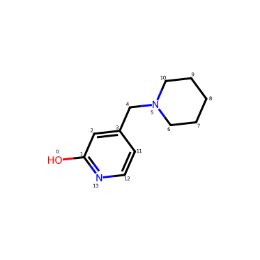 Oc1cc(CN2CCCCC2)ccn1